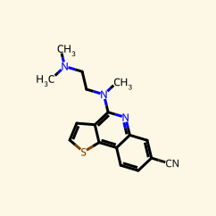 CN(C)CCN(C)c1nc2cc(C#N)ccc2c2sccc12